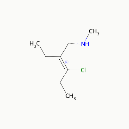 CC/C(Cl)=C(\CC)CNC